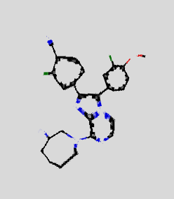 COc1ccc(-c2c(-c3ccc(C#N)c(F)c3)nc3c(N4CCCCC(N)C4)nccn23)cc1F